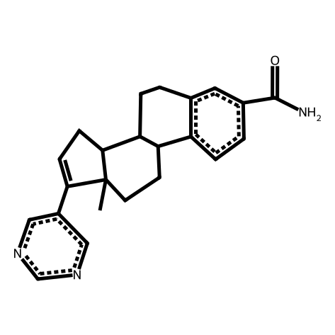 CC12CCC3c4ccc(C(N)=O)cc4CCC3C1CC=C2c1cncnc1